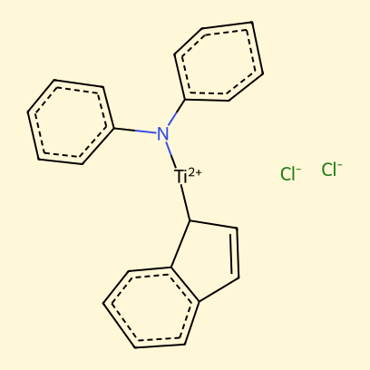 C1=C[CH]([Ti+2][N](c2ccccc2)c2ccccc2)c2ccccc21.[Cl-].[Cl-]